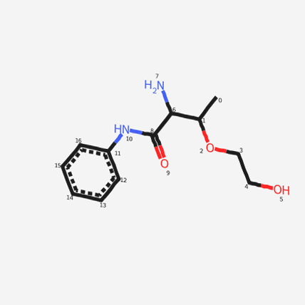 CC(OCCO)C(N)C(=O)Nc1ccccc1